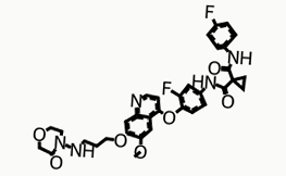 COc1cc2c(Oc3ccc(NC(=O)C4(C(=O)Nc5ccc(F)cc5)CC4)cc3F)ccnc2cc1OCCCNN1CCOCC1=O